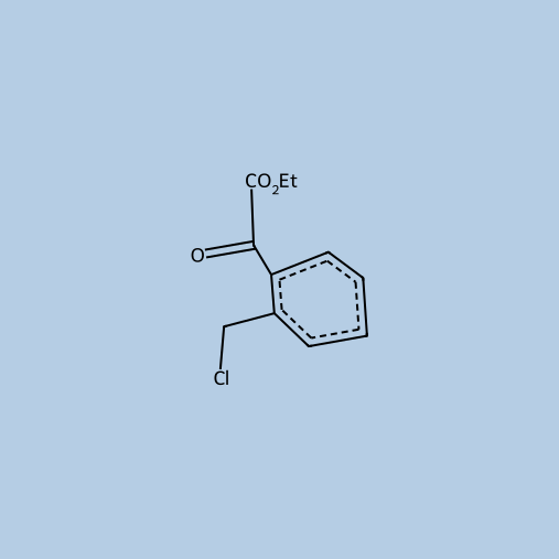 CCOC(=O)C(=O)c1ccccc1CCl